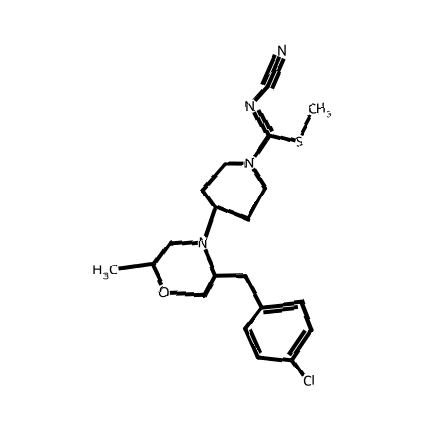 CS/C(=N\C#N)N1CCC(N2CC(C)OCC2Cc2ccc(Cl)cc2)CC1